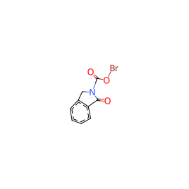 O=C(OBr)N1Cc2ccccc2C1=O